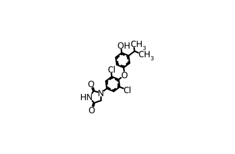 CC(C)c1cc(Oc2c(Cl)cc(N3CC(=O)NC3=O)cc2Cl)ccc1O